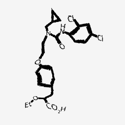 CCOC(Cc1ccc(OCCN(CC2CC2)C(=O)Nc2ccc(Cl)cc2Cl)cc1)C(=O)O